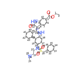 CCOC(=O)c1ccc2c(c1)NC(=O)/C2=C(/Nc1ccc(N(CCN(C)C)S(=O)(=O)Cc2ccccc2)cc1)c1ccccc1